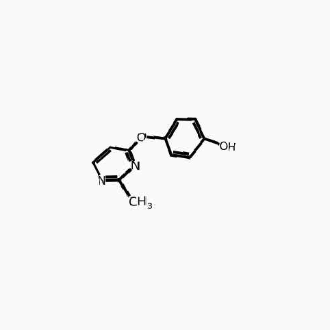 Cc1nccc(Oc2ccc(O)cc2)n1